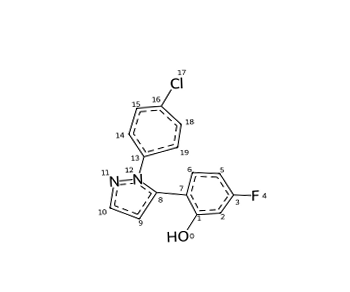 Oc1cc(F)ccc1-c1ccnn1-c1ccc(Cl)cc1